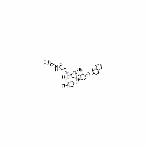 CC(C)(/C=N/OCC(=O)NCO[N+](=O)[O-])Cc1c(SC(C)(C)C)c2cc(OCc3ccc4ccccc4n3)ccc2n1Cc1ccc(Cl)cc1